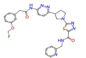 O=C(Cc1cccc(OCF)c1)Nc1ccc(C2CCN(c3nnc(C(=O)NCc4ccccn4)s3)C2)nn1